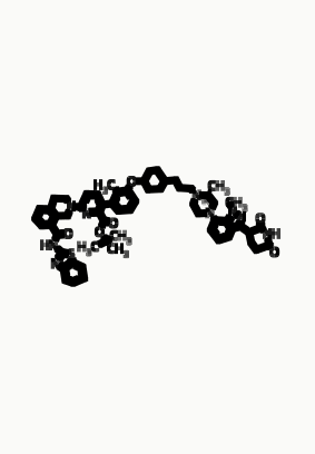 Cc1c(OC2CCC(CCCN3CCN(c4cccc5c(C6CCC(=O)NC6=O)nn(C)c45)C[C@H]3C)CC2)cccc1-c1ccc(N2CCc3cccc(C(=O)Nc4nc5ccccc5s4)c3C2)nc1C(=O)OC(C)(C)C